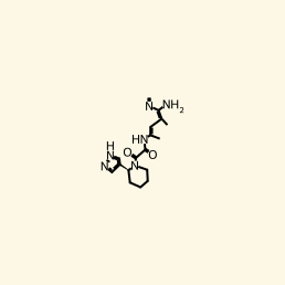 C=N/C(N)=C(C)\C=C(/C)NC(=O)C(=O)N1CCCC[C@H]1c1cn[nH]c1